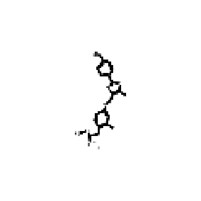 CCOC(Cc1ccc(OCc2nc(-c3ccc(C(C)(C)C)cc3)oc2C)cc1C)C(=O)O